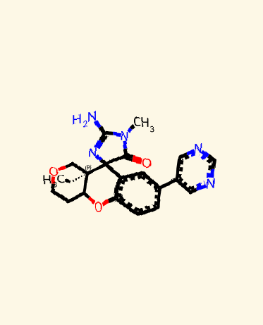 CC[C@@]12COCCC1Oc1ccc(-c3cncnc3)cc1C21N=C(N)N(C)C1=O